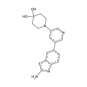 Nc1nc2ccc(-c3cncc(N4CCS(O)(O)CC4)c3)cc2s1